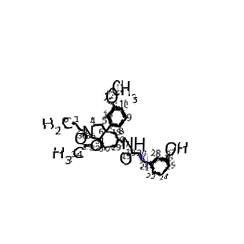 C=CCN1CCC2(c3cccc(OC)c3)CC(NC(=O)/C=C/c3cccc(O)c3)CCC2(OC(C)=O)C1